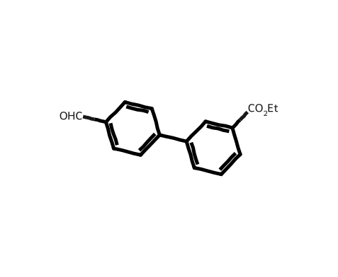 CCOC(=O)c1cccc(-c2ccc(C=O)cc2)c1